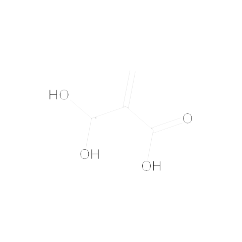 C=C([C](O)O)C(=O)O